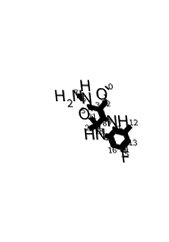 COCC(C(=O)NN)=C1Nc2c(C)cc(F)cc2NC1(C)C